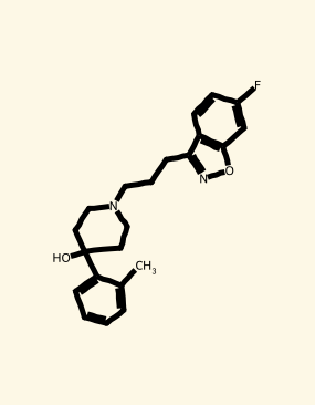 Cc1ccccc1C1(O)CCN(CCCc2noc3cc(F)ccc23)CC1